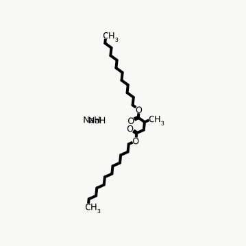 CCCCCCCCCCCCOC(=O)CC(C)C(=O)OCCCCCCCCCCCC.[NaH].[NaH]